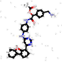 NCc1ccc(C(OC(=O)C(F)(F)F)C(=O)Nc2ccc(Nc3cc(-c4cccc5c4oc4ccccc45)ncn3)cc2)cc1